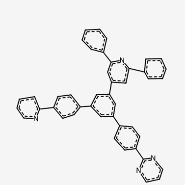 c1ccc(-c2cc(-c3cc(-c4ccc(-c5ccccn5)cc4)cc(-c4ccc(-c5ncccn5)cc4)c3)cc(-c3ccccc3)n2)cc1